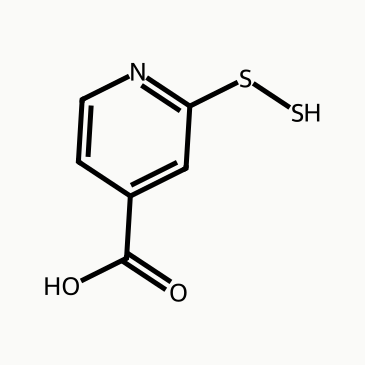 O=C(O)c1ccnc(SS)c1